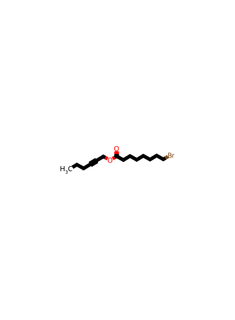 CCCC#CCOC(=O)CCCCCCCBr